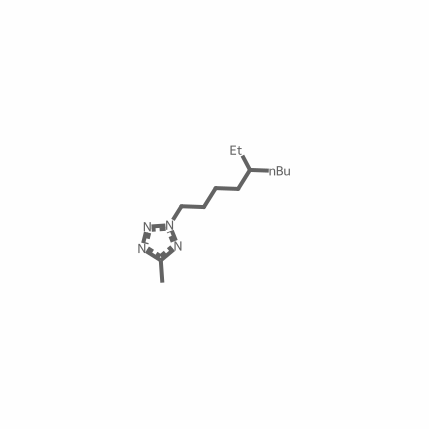 CCCCC(CC)CCCCn1nnc(C)n1